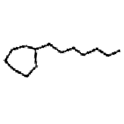 CCC[CH]CCCC1CCCCCC1